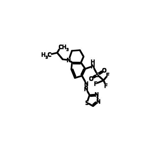 CC(C)CN1CCCc2c1ccc(N=Nc1nncs1)c2NS(=O)(=O)C(F)(F)F